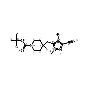 Cn1nc(C#N)c(Br)c1CC1(F)CCN(C(=O)OC(C)(C)C)CC1